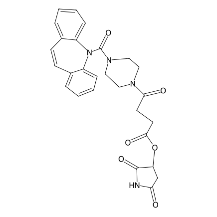 O=C1CC(OC(=O)CCC(=O)N2CCN(C(=O)N3c4ccccc4C=Cc4ccccc43)CC2)C(=O)N1